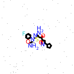 C[C@H](C(N)=O)N(c1ccc(F)cc1)c1nc(N)c(C(=O)c2cc(C3CCCC3)no2)s1